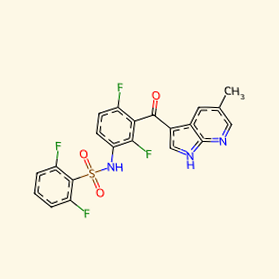 Cc1cnc2[nH]cc(C(=O)c3c(F)ccc(NS(=O)(=O)c4c(F)cccc4F)c3F)c2c1